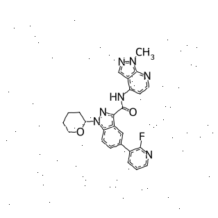 Cn1ncc2c(NC(=O)c3nn(C4CCCCO4)c4ccc(-c5cccnc5F)cc34)ccnc21